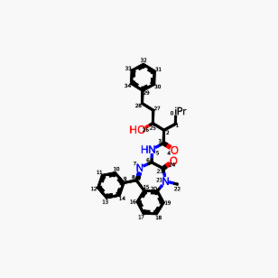 CC(C)CC(C(=O)NC1N=C(c2ccccc2)c2ccccc2N(C)C1=O)C(O)CCc1ccccc1